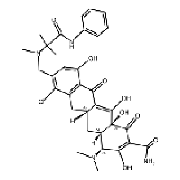 CN(C)[C@@H]1C(O)=C(C(N)=O)C(=O)[C@@]2(O)C(O)=C3C(=O)c4c(O)cc(CN(C)C(C)(C)C(=O)Nc5ccccc5)c(Cl)c4C[C@H]3C[C@@H]12